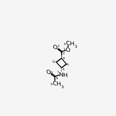 COC(=O)[C@H]1C[C@H](NC(C)=O)C1